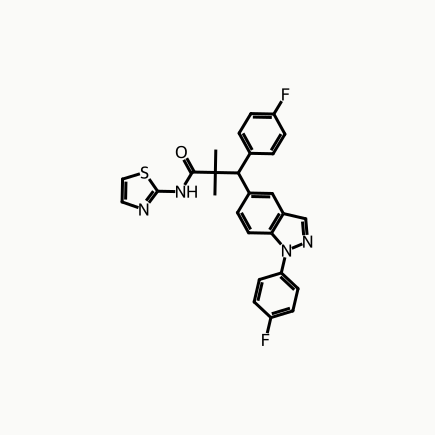 CC(C)(C(=O)Nc1nccs1)C(c1ccc(F)cc1)c1ccc2c(cnn2-c2ccc(F)cc2)c1